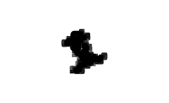 C=CC(=O)OC(C)(C)C.CCCC[N+](CCCC)(CCCC)CCCC